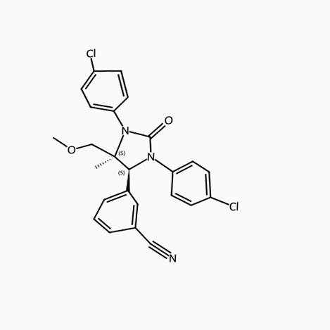 COC[C@]1(C)[C@H](c2cccc(C#N)c2)N(c2ccc(Cl)cc2)C(=O)N1c1ccc(Cl)cc1